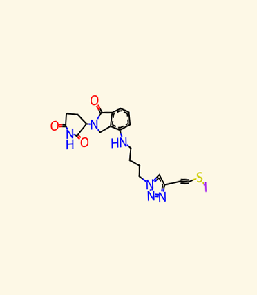 O=C1CCC(N2Cc3c(NCCCCn4cc(C#CSI)nn4)cccc3C2=O)C(=O)N1